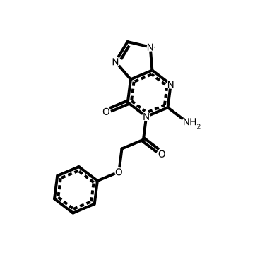 Nc1nc2c(c(=O)n1C(=O)COc1ccccc1)N=C[N]2